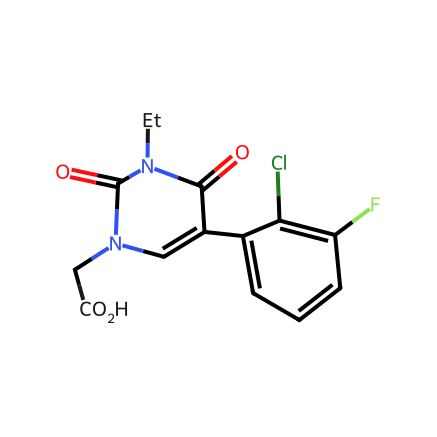 CCn1c(=O)c(-c2cccc(F)c2Cl)cn(CC(=O)O)c1=O